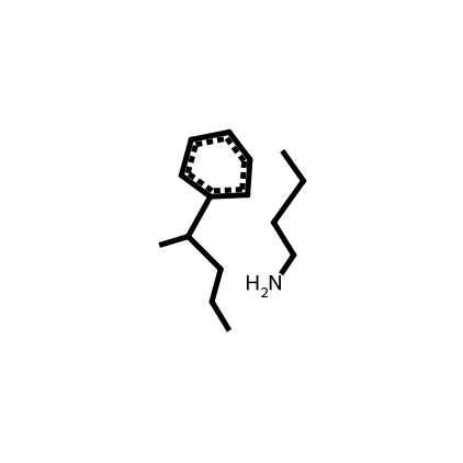 CCCC(C)c1ccccc1.CCCCN